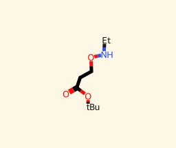 CCNOCCC(=O)OC(C)(C)C